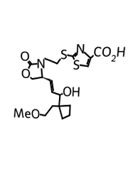 COCCC1([C@H](O)/C=C/[C@H]2COC(=O)N2CCSc2nc(C(=O)O)cs2)CCC1